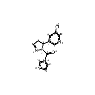 O=C(N1N=CCC1c1cncc(Cl)c1)n1ccnc1